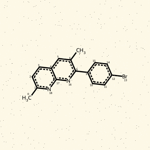 Cc1ccc2cc(C)c(-c3ccc(Br)cc3)nc2n1